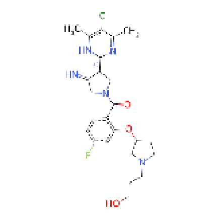 CC1=N/C(=C2\CN(C(=O)c3ccc(F)cc3OC3CCN(CCCO)C3)CC2=N)NC(C)=C1Cl